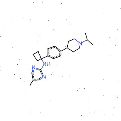 Cc1cnc(NC2(c3ccc(C4CCN(C(C)C)CC4)cc3)CCC2)nc1